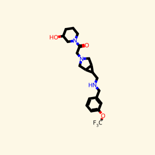 O=C(CN1CC2C(CNCc3cccc(OC(F)(F)F)c3)C2C1)N1CCCC(O)C1